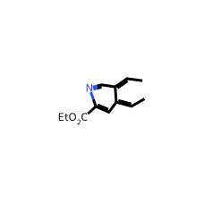 C/C=c1/cc(C(=O)OCC)nc/c1=C/C